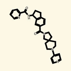 O=C(NC1CCc2ccc(C(=O)N3CCC4(CCN(c5ccncc5)CC4)C3)cc21)c1ccccn1